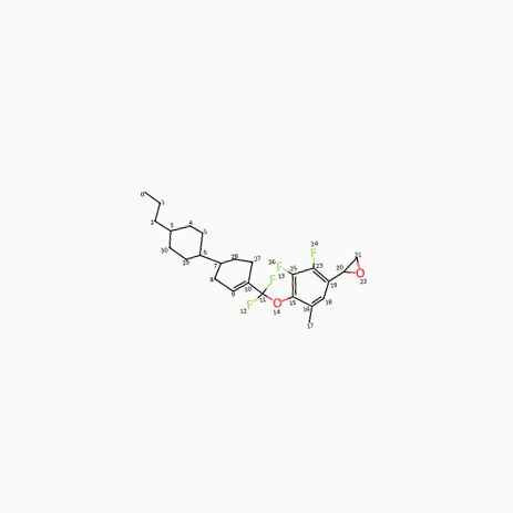 CCCC1CCC(C2CC=C(C(F)(F)Oc3c(C)cc(C4CO4)c(F)c3F)CC2)CC1